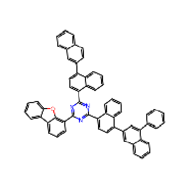 c1ccc(-c2cc(-c3ccc(-c4nc(-c5ccc(-c6ccc7ccccc7c6)c6ccccc56)nc(-c5cccc6c5oc5ccccc56)n4)c4ccccc34)cc3ccccc23)cc1